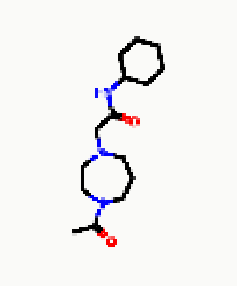 CC(=O)N1CCCN(CC(=O)NC2CCCCC2)CC1